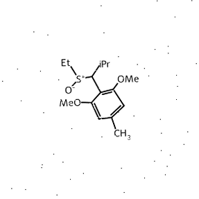 CC[S+]([O-])C(c1c(OC)cc(C)cc1OC)C(C)C